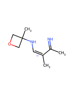 CC(=N)/C(C)=C\NC1(C)COC1